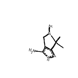 CC(=O)N1Cc2c(n[nH]c2N)C1(C)C